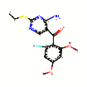 CCSc1ncc(C(=O)c2c(F)cc(OC)cc2OC)c(N)n1